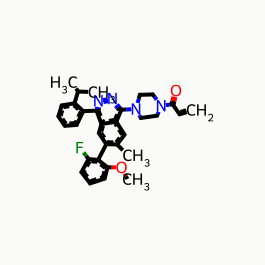 C=CC(=O)N1CCN(c2nnc(-c3ccccc3C(C)C)c3cc(-c4c(F)cccc4OC)c(C)cc23)CC1